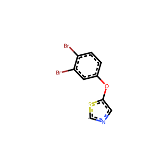 Brc1ccc(Oc2cn[c]s2)cc1Br